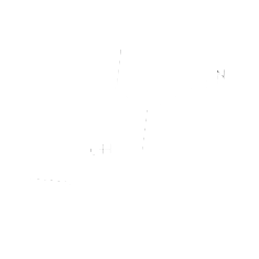 CC(C)O.CCCC(C)C#N